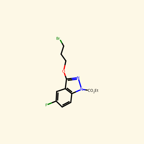 CCOC(=O)n1nc(OCCCBr)c2cc(F)ccc21